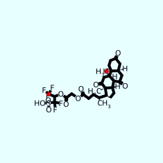 C[C@H](CCC(=O)OCC(=O)OC(C(F)(F)F)C(F)(F)S(=O)(=O)O)[C@H]1CC[C@H]2[C@@H]3C(=O)C[C@@H]4CC(=O)CC[C@]4(C)[C@H]3CC(=O)[C@]12C